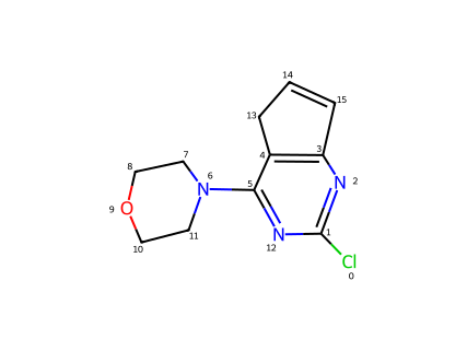 Clc1nc2c(c(N3CCOCC3)n1)CC=C2